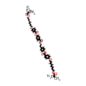 C=C(C)C(=O)OCCCCCCCCOc1ccc(C(=O)Oc2ccc(CCOC(=O)c3ccc(OC(=O)c4ccc(OCCCCCCCCOC(=O)C(=C)C)cc4)cc3)cc2)cc1